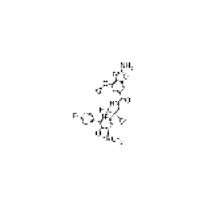 CC(CNC(=O)c1cc(OC2CC2)c2nc(N)oc2c1)(c1cc2c(c(-c3ccc(F)cc3)n1)OC[C@H]2C(F)(F)F)C1CC1